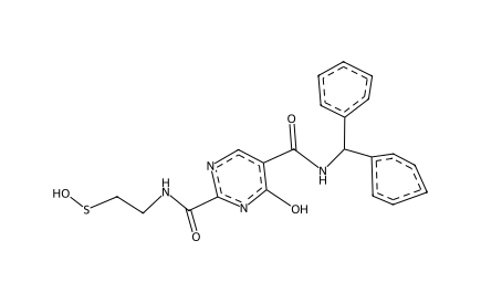 O=C(NCCSO)c1ncc(C(=O)NC(c2ccccc2)c2ccccc2)c(O)n1